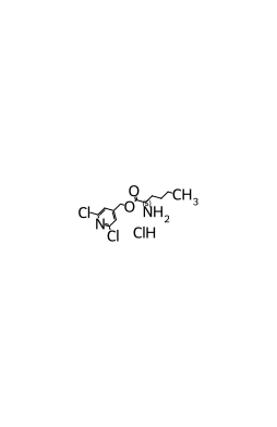 CCCC[C@H](N)C(=O)OCc1cc(Cl)nc(Cl)c1.Cl